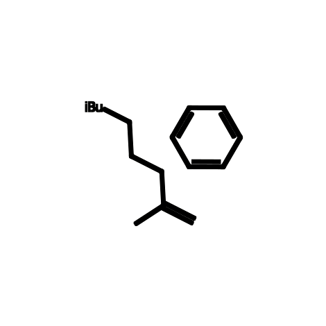 C=C(C)CCCC(C)CC.c1ccccc1